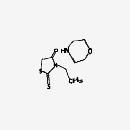 C1COCCN1.CCN1C(=O)CSC1=S